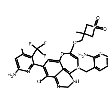 Cc1cc(N)nc(-c2cc3c4c(c2Cl)=NCNC=4N(Cc2cccnc2N)C=C(OCC2(C)CS(=O)(=O)C2)O3)c1C(F)(F)F